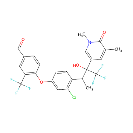 Cc1cc(C(O)(C(C)c2ccc(Oc3ccc(C=O)cc3C(F)(F)F)cc2Cl)C(F)(F)F)cn(C)c1=O